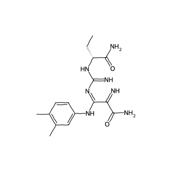 CC[C@@H](NC(=N)/N=C(/Nc1ccc(C)c(C)c1)C(=N)C(N)=O)C(N)=O